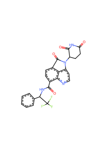 O=C1CCC(N2C(=O)c3ccc(C(=O)NC(c4ccccc4)C(F)(F)F)c4nccc2c34)C(=O)N1